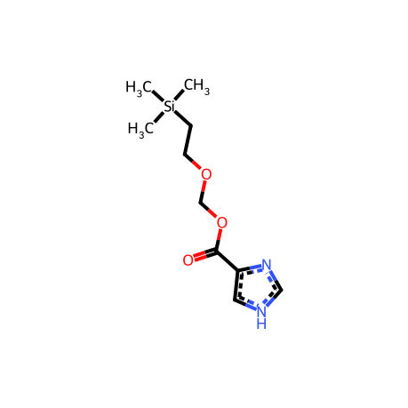 C[Si](C)(C)CCOCOC(=O)c1c[nH]cn1